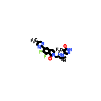 [2H]C(C)(CCCn1ccc2cc(-c3ncc(C(F)(F)F)cn3)c(F)c(F)c2c1=O)Nc1cn[nH]c(=O)c1C(F)(F)F